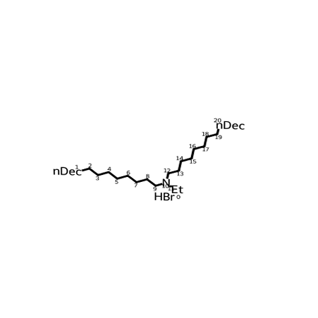 Br.CCCCCCCCCCCCCCCCCCN(CC)CCCCCCCCCCCCCCCCCC